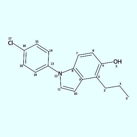 CCCc1c(O)ccc2c1ccn2-c1ccc(Cl)cc1